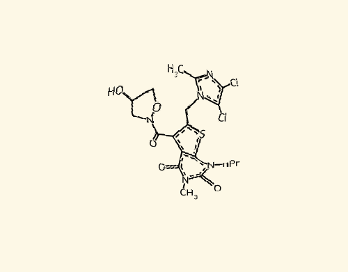 CCCn1c(=O)n(C)c(=O)c2c(C(=O)N3CC(O)CO3)c(Cn3c(C)nc(Cl)c3Cl)sc21